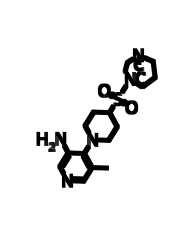 Cc1cncc(N)c1N1CCC(S(=O)(=O)N2CCN3CCC2CC3)CC1